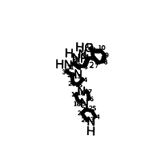 NC1=C(/C=C(\N)c2ccccc2O)N2CC(N3CCN(C4CCNCC4)CC3)CC2CN1